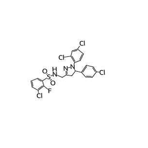 O=S(=O)(NCC1=NN(c2ccc(Cl)cc2Cl)C(c2ccc(Cl)cc2)C1)c1cccc(Cl)c1F